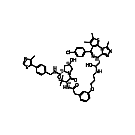 Cc1ncsc1-c1ccc(CNC(=O)[C@@H]2C[C@@H](O)CN2C(=O)[C@@H](NC(=O)Cc2cccc(OCCCNC(O)C[C@@H]3N=C(c4ccc(Cl)cc4)c4c(sc(C)c4C)-n4c(C)nnc43)c2)C(C)(C)C)cc1